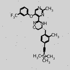 Cc1ncc(Oc2cccc(C(F)(F)F)c2)c(C2=NOC[C@@H](Cc3ccc(C#C[Si](C)(C)C)cc3C)N2)n1